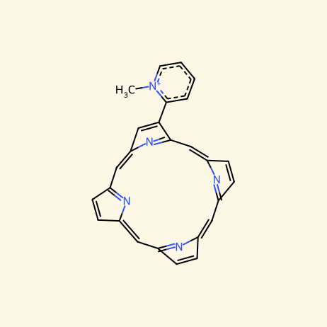 C[n+]1ccccc1C1=CC2=CC3=NC(=CC4=NC(=CC5=NC(=CC1=N2)C=C5)C=C4)C=C3